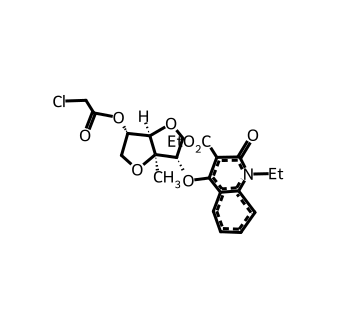 CCOC(=O)c1c(O[C@H]2CO[C@@H]3[C@@H](OC(=O)CCl)CO[C@]23C)c2ccccc2n(CC)c1=O